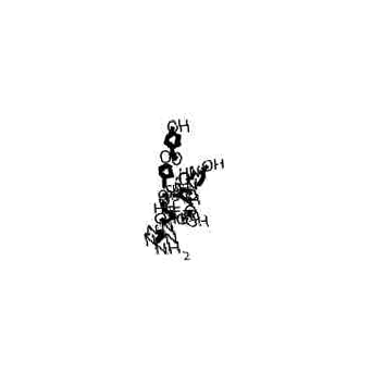 Nc1ncnc2c1ncn2[C@@H]1O[C@@H]2COP(=O)(SCc3ccc(OC(=O)c4ccc(O)cc4)cc3)O[C@H]3[C@@H](F)[C@H](N4C=CC(O)NC4=O)O[C@@H]3COP(=O)(O)O[C@@H]1[C@@H]2F